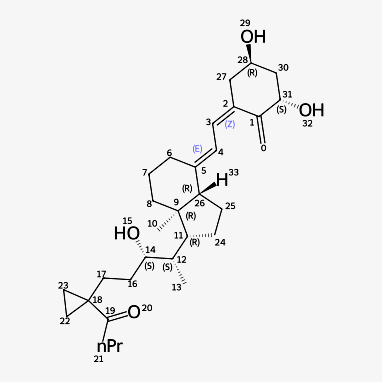 C=C1/C(=C\C=C2/CCC[C@]3(C)[C@@H]([C@H](C)[C@@H](O)CCC4(C(=O)CCC)CC4)CC[C@@H]23)C[C@@H](O)C[C@@H]1O